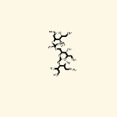 CC[C@@](OCC(OCO[C@H](C(O)CO)C(O)CNC(C)=O)[C@H](O)C(O)CO)(OC(CNC(C)=O)[C@H](O)[C@H](O)CO)C(=O)O